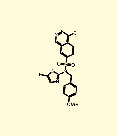 COc1ccc(CN(c2ncc(F)s2)S(=O)(=O)c2ccc3c(Cl)nncc3c2)cc1